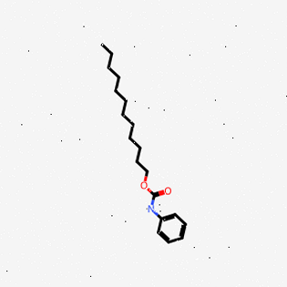 CCCCCCCCCCCCOC(=O)[N]c1ccccc1